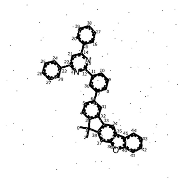 CC1(C)c2ccc(-c3cccc(-c4nc(-c5ccccc5)cc(-c5ccccc5)n4)c3)cc2-c2cc3c(cc21)oc1ccccc13